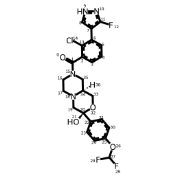 O=C(c1cccc(-c2c[nH]nc2F)c1Cl)N1CCN2C[C@@](O)(c3ccc(OC(F)F)cc3)OC[C@@H]2C1